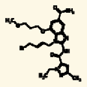 CCn1nc(C)cc1C(=O)Nc1nc2cc(C(N)=O)cc(OCCCOC)c2n1CC=CCBr